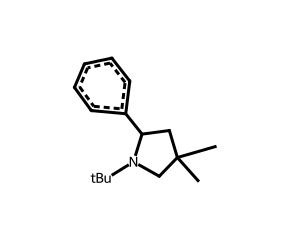 CC1(C)CC(c2ccccc2)N(C(C)(C)C)C1